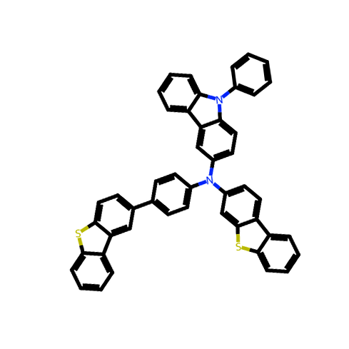 c1ccc(-n2c3ccccc3c3cc(N(c4ccc(-c5ccc6sc7ccccc7c6c5)cc4)c4ccc5c(c4)sc4ccccc45)ccc32)cc1